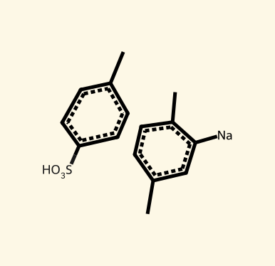 Cc1ccc(C)[c]([Na])c1.Cc1ccc(S(=O)(=O)O)cc1